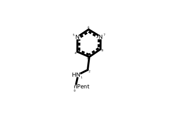 CCCCCNCc1cncnc1